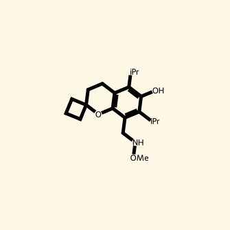 CONCc1c2c(c(C(C)C)c(O)c1C(C)C)CCC1(CCC1)O2